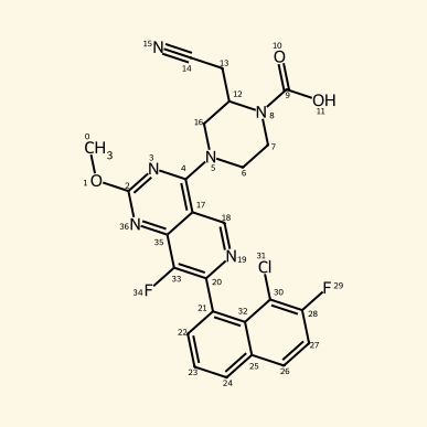 COc1nc(N2CCN(C(=O)O)C(CC#N)C2)c2cnc(-c3cccc4ccc(F)c(Cl)c34)c(F)c2n1